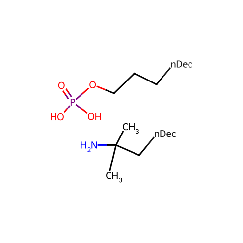 CCCCCCCCCCCC(C)(C)N.CCCCCCCCCCCCCOP(=O)(O)O